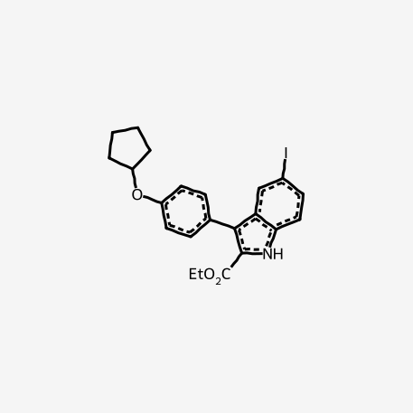 CCOC(=O)c1[nH]c2ccc(I)cc2c1-c1ccc(OC2CCCC2)cc1